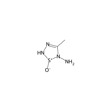 CC1=NN[S+]([O-])N1N